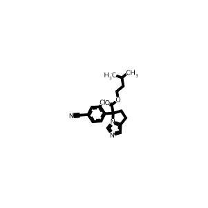 CC(C)CCOC(=O)C1(c2ccc(C#N)cc2Cl)CCc2cncn21